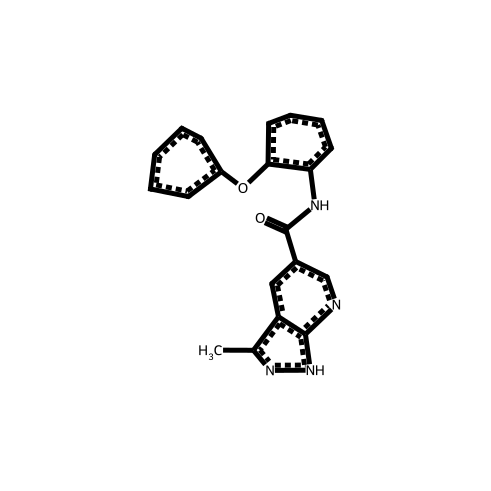 Cc1n[nH]c2ncc(C(=O)Nc3ccccc3Oc3ccccc3)cc12